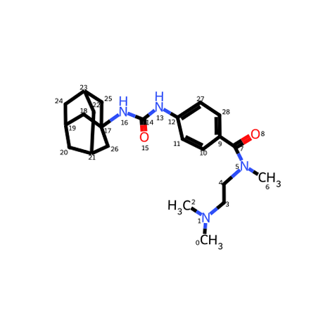 CN(C)CCN(C)C(=O)c1ccc(NC(=O)NC23CC4CC(CC(C4)C2)C3)cc1